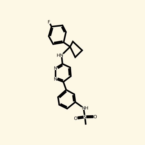 CS(=O)(=O)Nc1cccc(-c2ccc(NC3(c4ccc(F)cc4)CCC3)nn2)c1